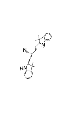 CN1c2ccccc2C(C)(C)C1C=CC(C#N)=CC=C1Nc2ccccc2C1(C)C